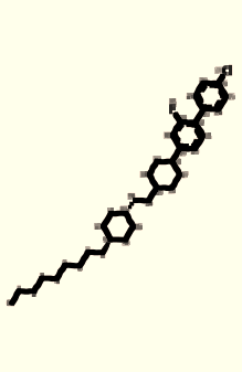 CCCCCCCCC[C@H]1CC[C@H](CCC2CCC(c3ccc(-c4ccc(Cl)cc4)c(F)c3)CC2)CC1